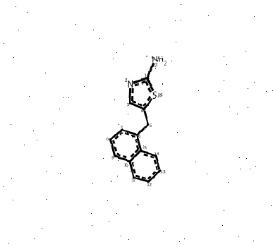 Nc1ncc(Cc2cccc3ccccc23)s1